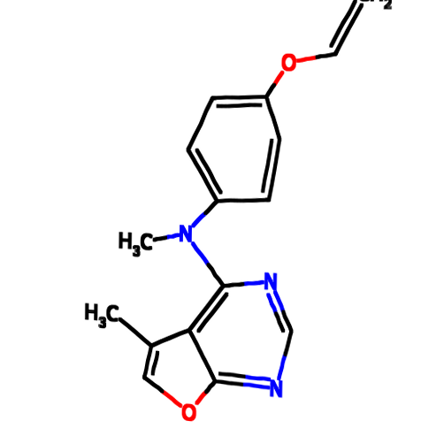 C=COc1ccc(N(C)c2ncnc3occ(C)c23)cc1